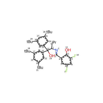 CC(C)C(N=Cc1cc(F)cc(F)c1O)C(O)(c1cc(C(C)(C)C)cc(C(C)(C)C)c1)c1cc(C(C)(C)C)cc(C(C)(C)C)c1